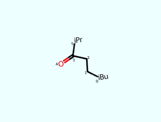 CCC(C)CCC(=O)C(C)C